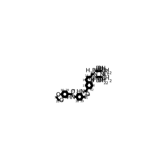 BC1(B)N(CC)C(B)(B)C(B)(B)N(Cc2ccc3cc(C(=O)Nc4cc(NC(=O)c5ccc6c(c5)OCCO6)ccc4F)ccc3n2)C1(B)B